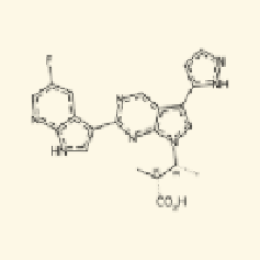 C[C@H]([C@@H](C)C(=O)O)n1cc(-c2ccn[nH]2)c2cnc(-c3c[nH]c4ncc(F)cc34)nc21